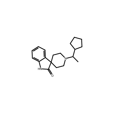 CC(C1CCCC1)N1CCC2(CC1)C(=O)Nc1ccccc12